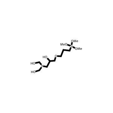 CO[Si](CCCOCC(O)CN(CO)CO)(OC)OC